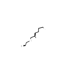 N=CCNC/C(F)=C/CC[C@@H](N)C(=O)O